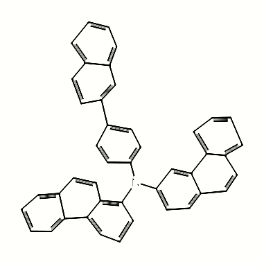 c1ccc2cc(-c3ccc(N(c4ccc5ccc6ccccc6c5c4)c4cccc5c4ccc4ccccc45)cc3)ccc2c1